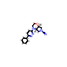 N#CN1C[C@@H]2OCCN(c3ccc(-c4ccccc4)nn3)[C@@H]2C1